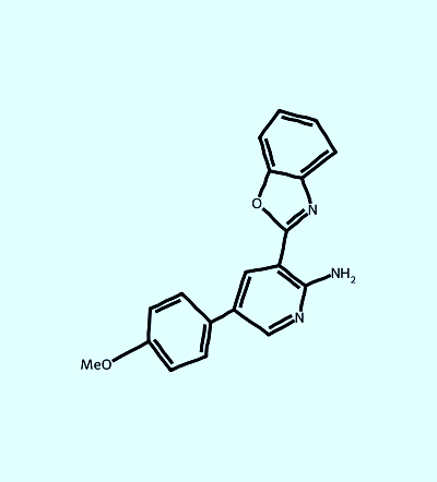 COc1ccc(-c2cnc(N)c(-c3nc4ccccc4o3)c2)cc1